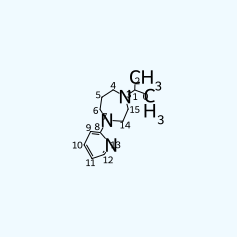 CC(C)N1CCCN(c2ccccn2)CC1